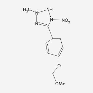 COCOc1ccc(C2=NN(C)NN2[N+](=O)[O-])cc1